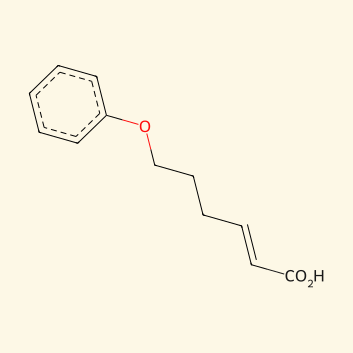 O=C(O)C=CCCCOc1ccccc1